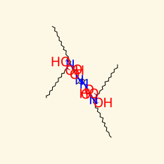 CCCCCCCCCCCCCCC(O)CN(CCC(=O)OCCN1CC(C)N(CCOC(=O)CCN(CC(O)CCCCCCCCCCCCCC)CC(O)CCCCCCCCCCCCCC)CC1C)CC(O)CCCCCCCCCCCCCC